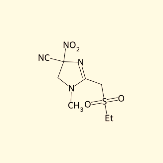 CCS(=O)(=O)CC1=NC(C#N)([N+](=O)[O-])CN1C